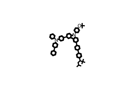 CC(C)CC(c1ccc(-c2ccc(-c3ccc4c(c3)c3cc(-c5ccc(N(c6ccccc6)c6ccc(-c7ccccc7)cc6)cc5)ccc3n4-c3ccc(OC(C)(C)C)cc3)cc2)cc1)C(C)(C)C